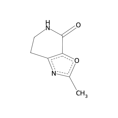 Cc1nc2c(o1)C(=O)NCC2